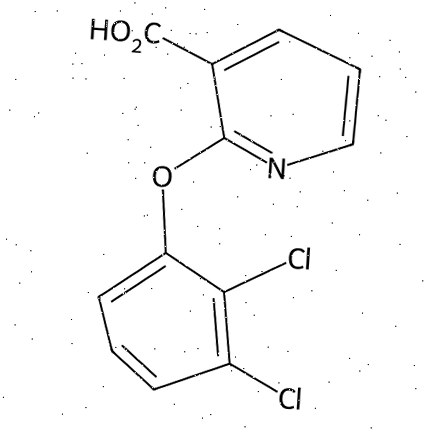 O=C(O)c1cccnc1Oc1cccc(Cl)c1Cl